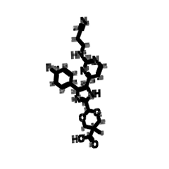 CC1(C(=O)O)COC(c2nc(-c3ccc(F)cc3)c(-c3ccnc(NCCC#N)n3)[nH]2)OC1